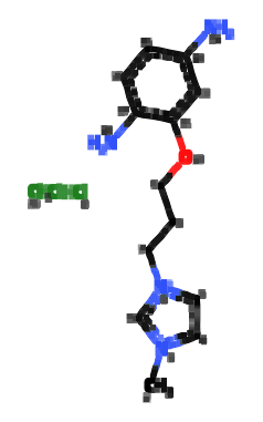 Cl.Cl.Cn1cc[n+](CCCOc2cc(N)ccc2N)c1.[Cl-]